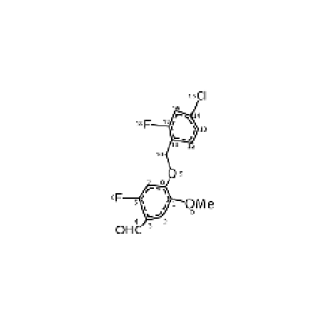 COc1cc(C=O)c(F)cc1OCc1ccc(Cl)cc1F